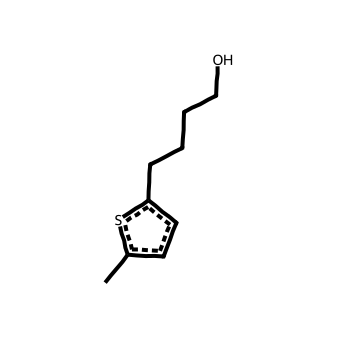 Cc1ccc(CCCCO)s1